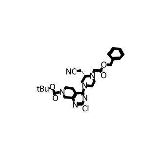 CC(C)(C)OC(=O)N1CCc2c(nc(Cl)nc2N2CCN(CC(=O)OCc3ccccc3)[C@@H](CC#N)C2)C1